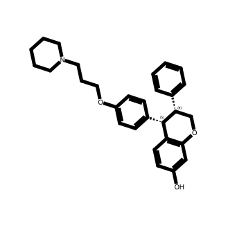 Oc1ccc2c(c1)OC[C@@H](c1ccccc1)[C@H]2c1ccc(OCCCN2CCCCC2)cc1